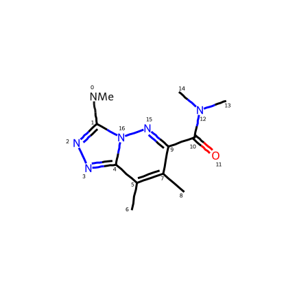 CNc1nnc2c(C)c(C)c(C(=O)N(C)C)nn12